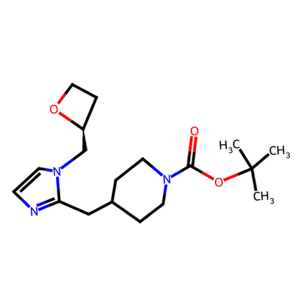 CC(C)(C)OC(=O)N1CCC(Cc2nccn2C[C@@H]2CCO2)CC1